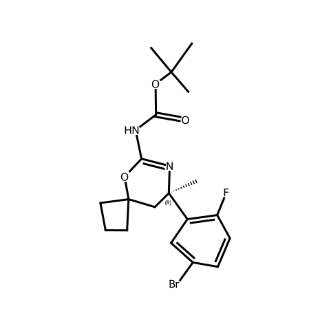 CC(C)(C)OC(=O)NC1=N[C@@](C)(c2cc(Br)ccc2F)CC2(CCC2)O1